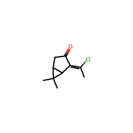 C/C(Cl)=C1/C(=O)CC2C1C2(C)C